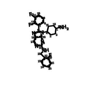 NC1CCC(n2c(-c3cccc(F)c3F)nc3cnc(NCc4ccccc4F)nc32)CC1